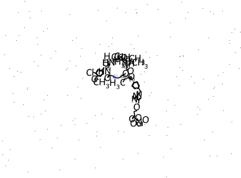 COc1ccc(C[C@H]2NC(=O)/C=C/C[C@@H](C(C)[C@H]3O[C@@H]3c3ccc(Cn4cc(COCCC(=O)ON5C(=O)CCC5=O)nn4)cc3)OC(=O)[C@H](CC(C)(C)C)NC(=O)C(C)(C)[C@H](C)NC2=O)cc1Cl